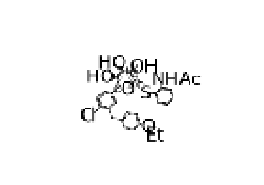 CCOc1ccc(Cc2cc([C@@H]3O[C@H](CSc4ccccc4NC(C)=O)[C@H](O)[C@@H](O)[C@H]3O)ccc2Cl)cc1